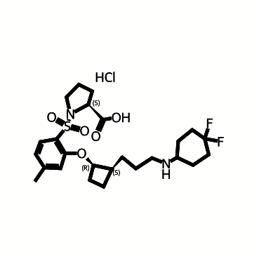 Cc1ccc(S(=O)(=O)N2CCC[C@H]2C(=O)O)c(O[C@@H]2CC[C@@H]2CCCNC2CCC(F)(F)CC2)c1.Cl